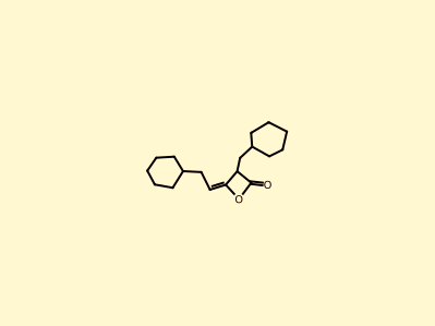 O=C1O/C(=C/CC2CCCCC2)C1CC1CCCCC1